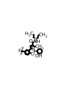 CCCN(CCC)NC(=O)c1cc(-c2cc(C(F)(F)F)ccc2Cl)n(C[C@H]2CCCC[C@H]2O)c1C